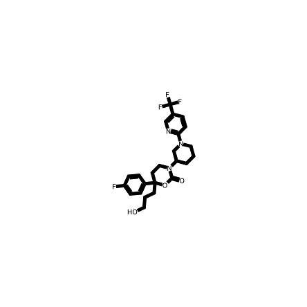 O=C1OC(CCCO)(c2ccc(F)cc2)CCN1C1CCCN(c2ccc(C(F)(F)F)cn2)C1